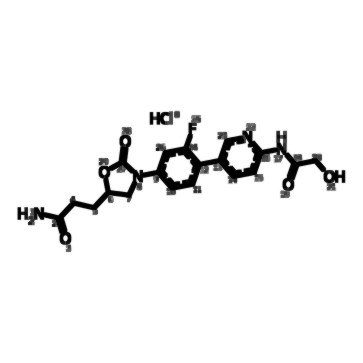 Cl.NC(=O)CCC1CN(c2ccc(-c3ccc(NC(=O)CO)nc3)c(F)c2)C(=O)O1